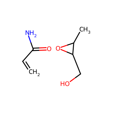 C=CC(N)=O.CC1OC1CO